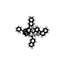 c1ccc(-c2ccc(C3=NC(c4ccc5ccccc5c4)NC(c4c(-n5c6cc7ccccc7cc6c6cc7ccccc7cc65)ccc5c4oc4ccc6ccccc6c45)=N3)cc2)cc1